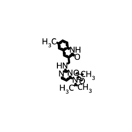 Cc1ccc2[nH]c(=O)c(CNc3nccc(N(C(C)C)S(C)(=O)=O)n3)cc2c1